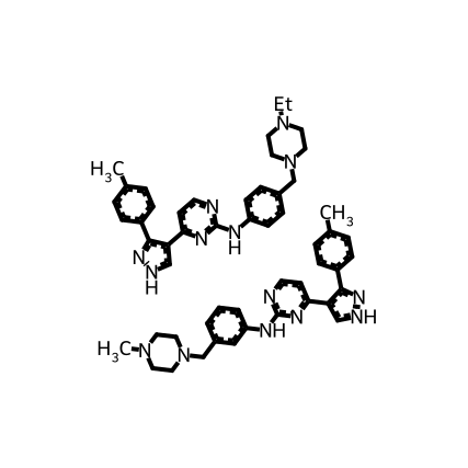 CCN1CCN(Cc2ccc(Nc3nccc(-c4c[nH]nc4-c4ccc(C)cc4)n3)cc2)CC1.Cc1ccc(-c2n[nH]cc2-c2ccnc(Nc3cccc(CN4CCN(C)CC4)c3)n2)cc1